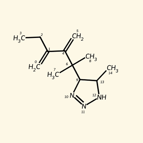 C=C(CC)C(=C)C(C)(C)C1N=NNC1C